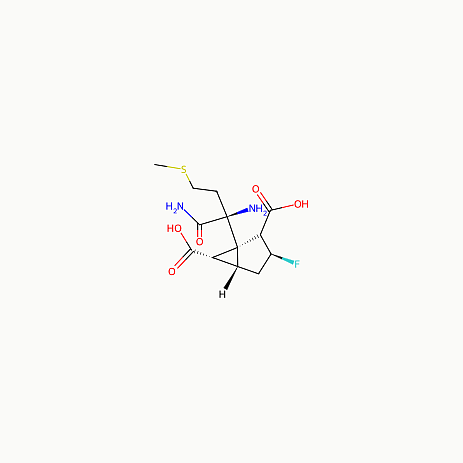 CSCC[C@@](N)(C(N)=O)[C@@]12C(C(=O)O)[C@@H](F)C[C@@H]1[C@@H]2C(=O)O